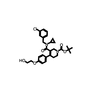 CC(C)(C)OC(=O)N1CCC(c2ccc(OCCO)cc2)=C(C(=O)N(Cc2cccc(Cl)c2)C2CC2)C1